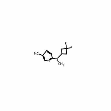 CN(c1ccc(C#N)cn1)C1CC(F)(F)C1